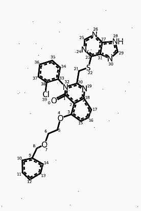 O=c1c2c(OCCOCc3ccccc3)cccc2nc(CSc2ncnc3[nH]cnc23)n1-c1ccccc1Cl